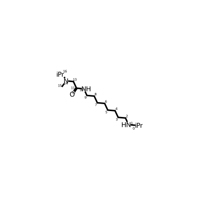 CC(C)NCCCCCCCCNC(=O)CN(C)C(C)C